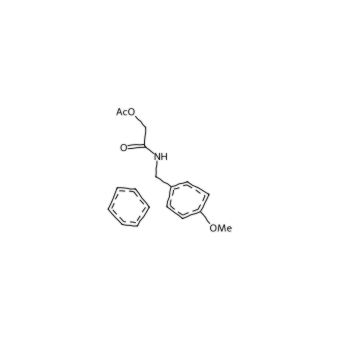 COc1ccc(CNC(=O)COC(C)=O)cc1.c1ccccc1